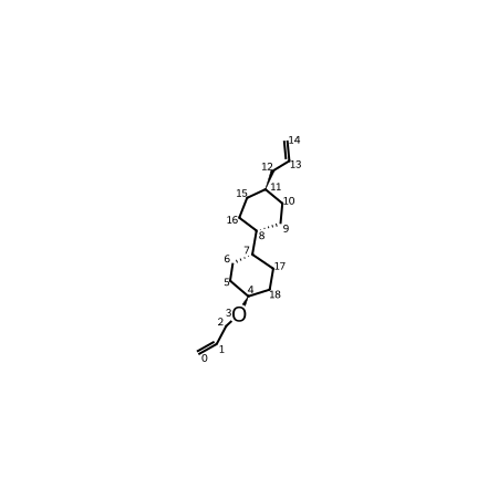 C=CCO[C@H]1CC[C@H]([C@H]2CC[C@H](CC=C)CC2)CC1